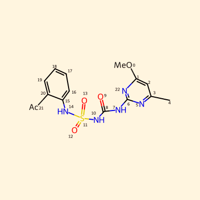 COc1cc(C)nc(NC(=O)NS(=O)(=O)Nc2ccccc2C(C)=O)n1